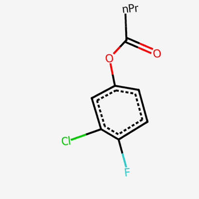 CCCC(=O)Oc1ccc(F)c(Cl)c1